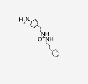 Nc1ccc(CCNC(=O)NCCCc2ccccc2)cc1